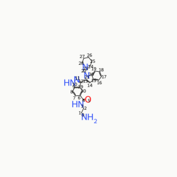 NCCNC(=O)c1ccc2[nH]nc(-c3cc4ccccc4n3CN3CCCCC3)c2c1